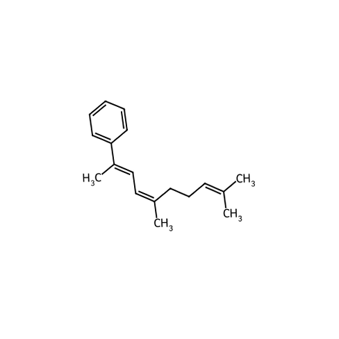 CC(C)=CCCC(C)=CC=C(C)c1ccccc1